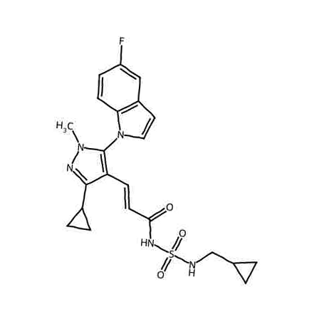 Cn1nc(C2CC2)c(/C=C/C(=O)NS(=O)(=O)NCC2CC2)c1-n1ccc2cc(F)ccc21